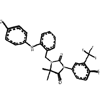 CC1(C)C(=O)N(c2ccc(F)c(C(F)(F)F)c2)C(=O)N1Cc1ccccc1Nc1ccc(Cl)cc1